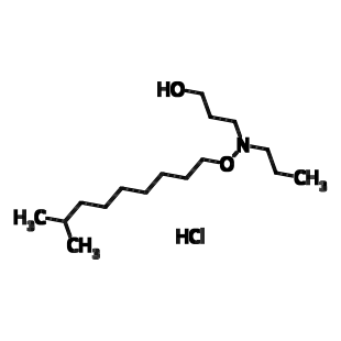 CCCN(CCCO)OCCCCCCCC(C)C.Cl